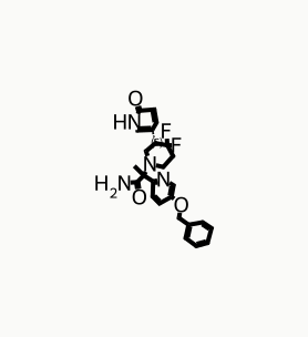 CC(C(N)=O)(c1ccc(OCc2ccccc2)cn1)N1CCC(F)(F)[C@@H](c2ccc(=O)[nH]c2)C1